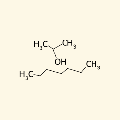 CC(C)O.CCCCCCC